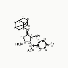 CCCN1C(=NC23CC4CC(CC(C4)C2)C3)SCC1N(C(C)=O)c1ccc(CC)cc1.Cl